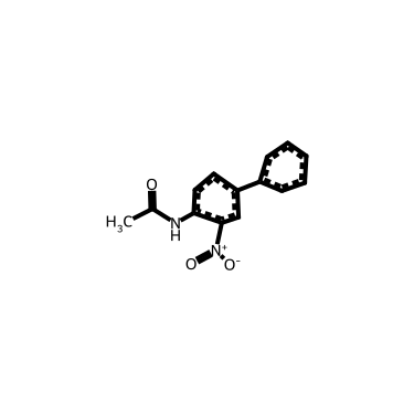 CC(=O)Nc1ccc(-c2ccccc2)cc1[N+](=O)[O-]